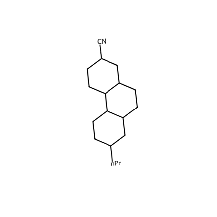 CCCC1CCC2C(CCC3CC(C#N)CCC32)C1